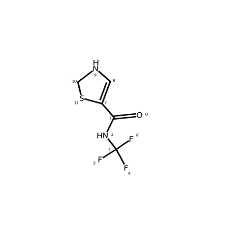 O=C(NC(F)(F)F)C1=CNCS1